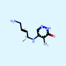 C[C@H](/C=C/CN)Nc1cn[nH]c(=O)c1C(F)(F)F